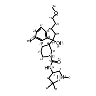 CNCC(CC(C)(C)C)NC(=O)N1CCCC(C(O)(CCCCOC)c2cccc(F)c2)C1